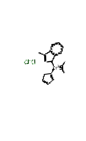 CC1=C[CH]([Zr+2]([C]2=CC=CC2)=[Si](C)C)c2ccccc21.[Cl-].[Cl-]